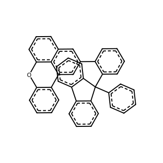 c1ccc(C2(c3ccccc3-c3cc4c5c(cccc5c3)Oc3ccccc3-4)c3ccccc3-c3ccccc32)cc1